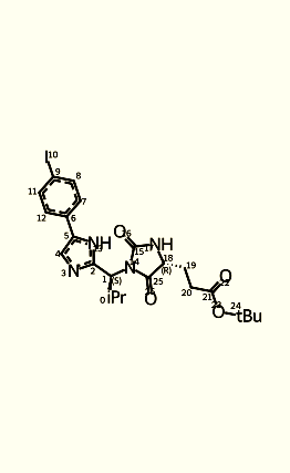 CC(C)[C@@H](c1ncc(-c2ccc(I)cc2)[nH]1)N1C(=O)N[C@H](CCC(=O)OC(C)(C)C)C1=O